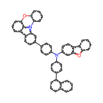 c1ccc2c(c1)Oc1cccc3c4ccc(-c5ccc(N(c6ccc(-c7cccc8ccccc78)cc6)c6ccc7c(c6)oc6ccccc67)cc5)cc4n-2c13